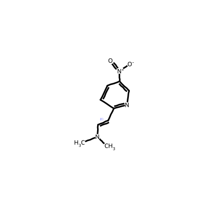 CN(C)/C=C/c1ccc([N+](=O)[O-])cn1